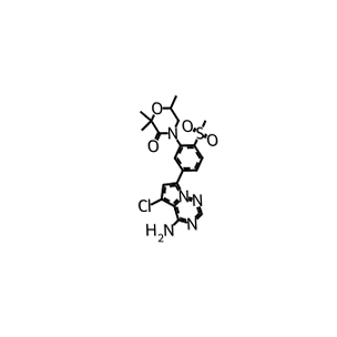 CC1CN(c2cc(-c3cc(Cl)c4c(N)ncnn34)ccc2S(C)(=O)=O)C(=O)C(C)(C)O1